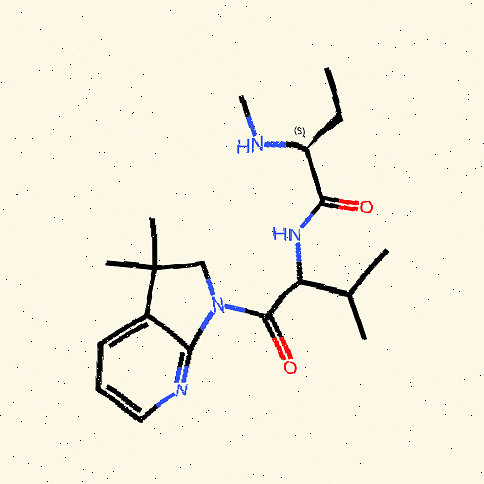 CC[C@H](NC)C(=O)NC(C(=O)N1CC(C)(C)c2cccnc21)C(C)C